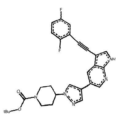 CC(C)(C)OC(=O)N1CCC(n2cc(-c3cnc4[nH]cc(C#Cc5cc(F)ccc5F)c4c3)cn2)CC1